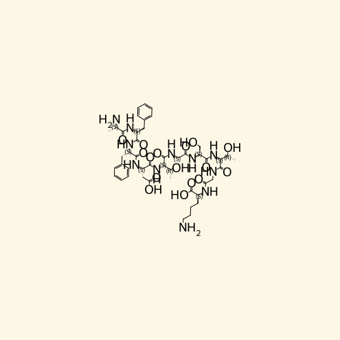 C[C@H](N)C(=O)N[C@@H](Cc1ccccc1)C(=O)N[C@@H](Cc1ccccc1)C(=O)N[C@@H](CC(=O)O)C(=O)N[C@H](C(=O)N[C@@H](C)C(=O)N[C@@H](CO)C(=O)N[C@H](C(=O)NCC(=O)N[C@@H](CCCCN)C(=O)O)[C@@H](C)O)[C@@H](C)O